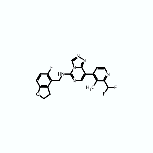 Cc1c(-c2cnc(NCc3c(F)ccc4c3CCO4)n3cnnc23)ccnc1C(F)F